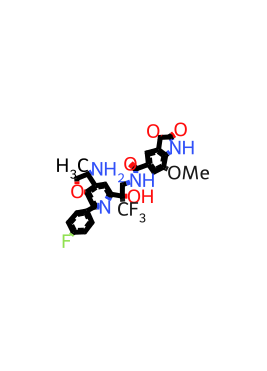 COc1cc(C(=O)NCC(O)(c2cc3c(c(-c4ccc(F)cc4)n2)OCC3(C)N)C(F)(F)F)cc2c1NC(=O)C2=O